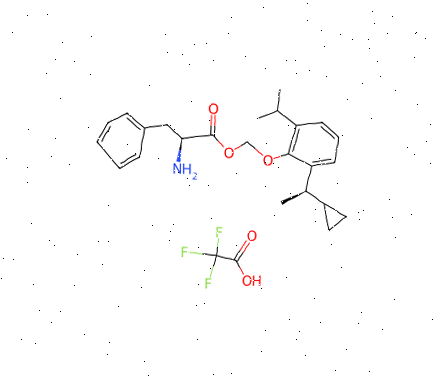 CC(C)c1cccc([C@H](C)C2CC2)c1OCOC(=O)[C@@H](N)Cc1ccccc1.O=C(O)C(F)(F)F